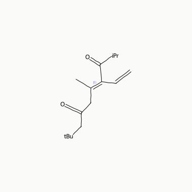 C=C/C(C(=O)C(C)C)=C(/C)CC(=O)CC(C)(C)C